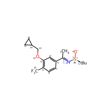 C/C(=N\[S@@+]([O-])C(C)(C)C)c1ccc(C(F)(F)F)c(OCC2CC2)c1